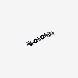 C/C(=N\O[Si](C)(C)C(C)(C)C)c1ccc(SSc2ccc(/C(C)=N/O[Si](C)(C)C(C)(C)C)cc2)cc1